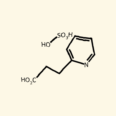 O=C(O)CCc1ccccn1.O=S(=O)(O)O